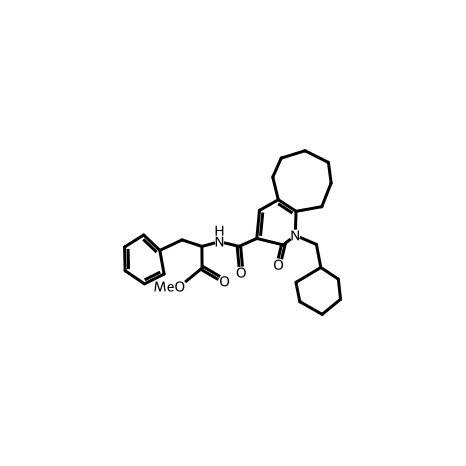 COC(=O)C(Cc1ccccc1)NC(=O)c1cc2c(n(CC3CCCCC3)c1=O)CCCCCC2